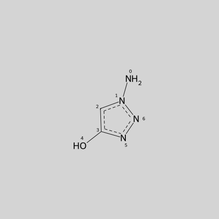 Nn1cc(O)nn1